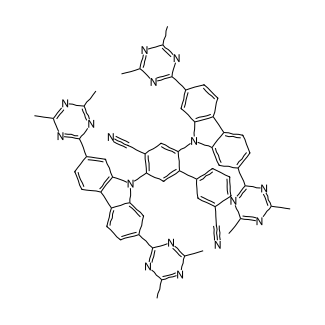 Cc1nc(C)nc(-c2ccc3c4ccc(-c5nc(C)nc(C)n5)cc4n(-c4cc(-c5cccc(C#N)c5)c(-n5c6cc(-c7nc(C)nc(C)n7)ccc6c6ccc(-c7nc(C)nc(C)n7)cc65)cc4C#N)c3c2)n1